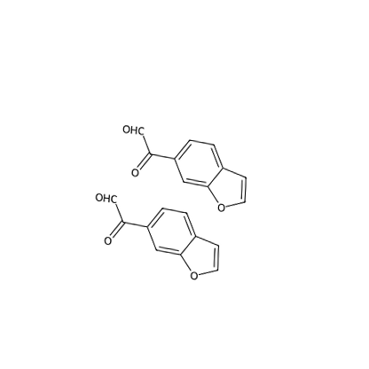 O=CC(=O)c1ccc2ccoc2c1.O=CC(=O)c1ccc2ccoc2c1